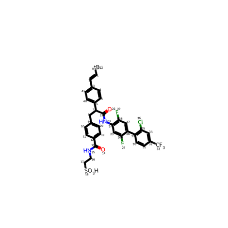 CC(C)(C)/C=C/c1ccc(C(Cc2ccc(C(=O)NCCS(=O)(=O)O)cc2)C(=O)Nc2cc(F)c(-c3ccc(C(F)(F)F)cc3Cl)cc2F)cc1